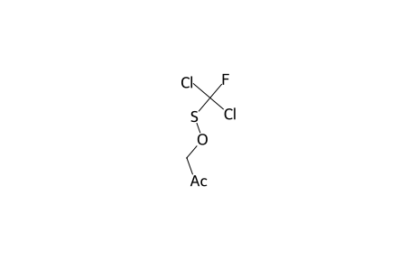 CC(=O)COSC(F)(Cl)Cl